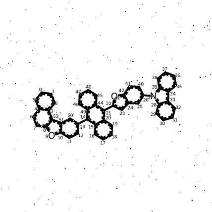 c1ccc2c(c1)ccc1oc3ccc(-c4c5ccccc5c(-c5cc6cc(-n7c8ccccc8c8ccccc87)ccc6o5)c5ccccc45)cc3c12